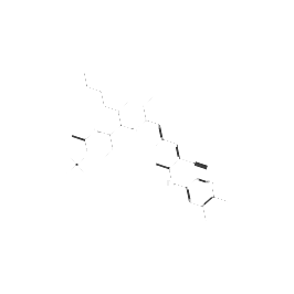 C#C/C(=C/C(F)=CC(CC)NC(C(C)CCCC)C(CC)NC(=C)OC(C)(C)C)C(=C)Nc1cnc(C)c(C)c1